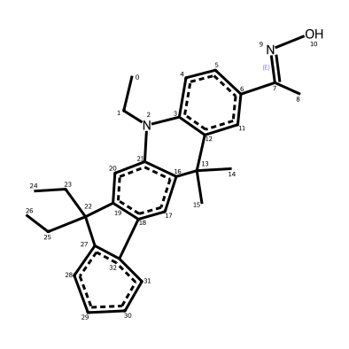 CCN1c2ccc(/C(C)=N/O)cc2C(C)(C)c2cc3c(cc21)C(CC)(CC)c1ccccc1-3